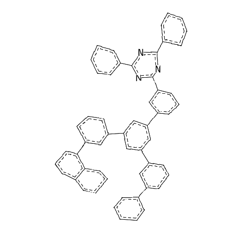 c1ccc(-c2cccc(-c3cc(-c4cccc(-c5nc(-c6ccccc6)nc(-c6ccccc6)n5)c4)cc(-c4cccc(-c5cccc6ccccc56)c4)c3)c2)cc1